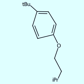 CC(C)CCOc1ccc(C(C)(C)C)cc1